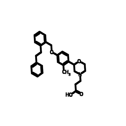 Cc1cc(OCc2ccccc2CCc2ccccc2)ccc1C1CN(CCC(=O)O)CCO1